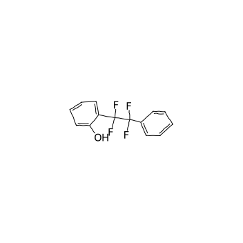 Oc1ccccc1C(F)(F)C(F)(F)c1ccccc1